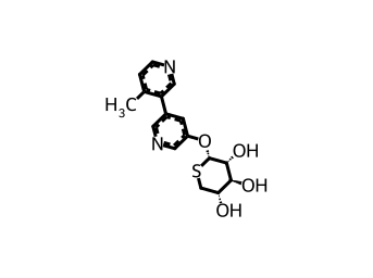 Cc1ccncc1-c1cncc(O[C@H]2SC[C@@H](O)[C@H](O)[C@H]2O)c1